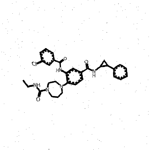 CCNC(=O)N1CCCN(c2ccc(C(=O)NC3CC3c3ccccc3)cc2NC(=O)c2cccc(Cl)c2)CC1